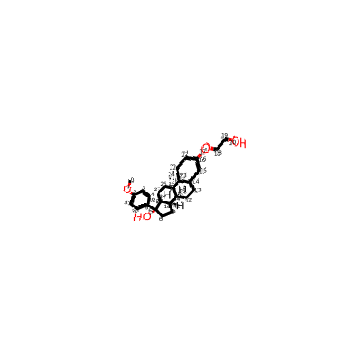 COc1ccc(C2(O)CC[C@H]3[C@@H]4CCC5CC(OCCO)CC[C@]5(C)[C@@H]4CC[C@@]32C)cc1